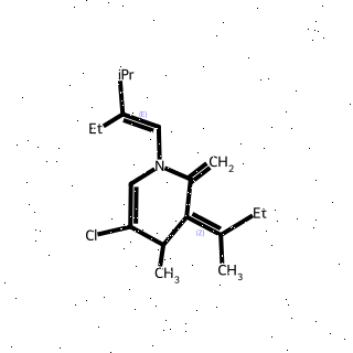 C=C1/C(=C(/C)CC)C(C)C(Cl)=CN1/C=C(\CC)C(C)C